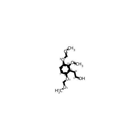 COCOc1ccc(OCOC)c(OC)c1CCO